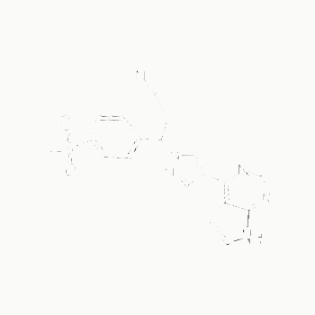 CS(=O)(=O)c1ccc(C(CC#N)n2cc(-c3ncnc4[nH]ccc34)cn2)cc1